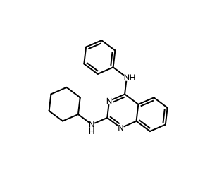 c1ccc(Nc2nc(NC3CCCCC3)nc3ccccc23)cc1